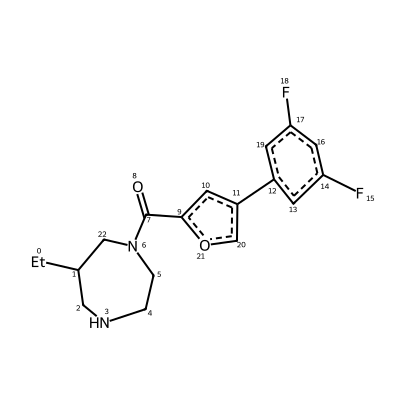 CCC1CNCCN(C(=O)c2cc(-c3cc(F)cc(F)c3)co2)C1